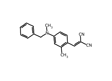 Cc1cc(N(C)Cc2ccccc2)ccc1C=C(C#N)C#N